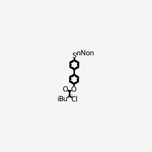 CCCCCCCCCSc1ccc(-c2ccc(OC(=O)[C@@H](Cl)C(C)CC)cc2)cc1